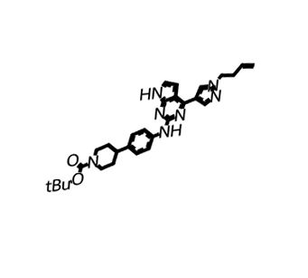 C=CCCn1cc(-c2nc(Nc3ccc(C4CCN(C(=O)OC(C)(C)C)CC4)cc3)nc3[nH]ccc23)cn1